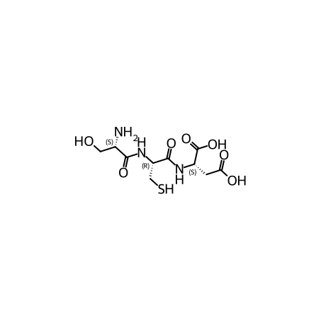 N[C@@H](CO)C(=O)N[C@@H](CS)C(=O)N[C@@H](CC(=O)O)C(=O)O